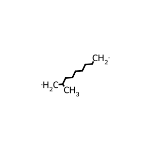 [CH2]CCCCCCC([CH2])C